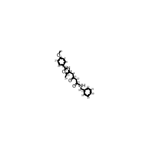 COc1ccc(-c2nc(CC(=O)CC(=O)NCc3ccccc3)c(C)o2)cc1